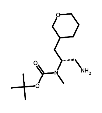 CN(C(=O)OC(C)(C)C)[C@@H](CN)CC1CCCOC1